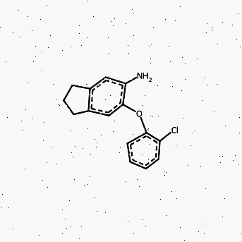 Nc1cc2c(cc1Oc1ccccc1Cl)CCC2